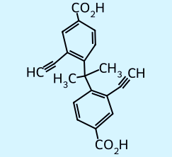 C#Cc1cc(C(=O)O)ccc1C(C)(C)c1ccc(C(=O)O)cc1C#C